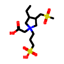 CCC1C[N+](CCCS(=O)(=O)O)(CC(=O)O)CC1CS(C)(=O)=O